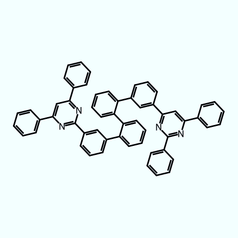 c1ccc(-c2cc(-c3cccc(-c4ccccc4-c4ccccc4-c4cccc(-c5nc(-c6ccccc6)cc(-c6ccccc6)n5)c4)c3)nc(-c3ccccc3)n2)cc1